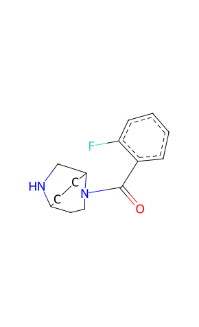 O=C(c1ccccc1F)N1CCC2CCC1CN2